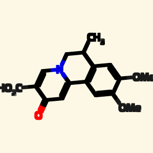 COc1cc2c(cc1OC)C(C)Cn1cc(C(=O)O)c(=O)cc1-2